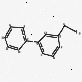 ICc1cccc(-c2ccccc2)c1